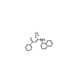 CC(=CC(=S)c1ccccc1)Nc1cccc2ccccc12